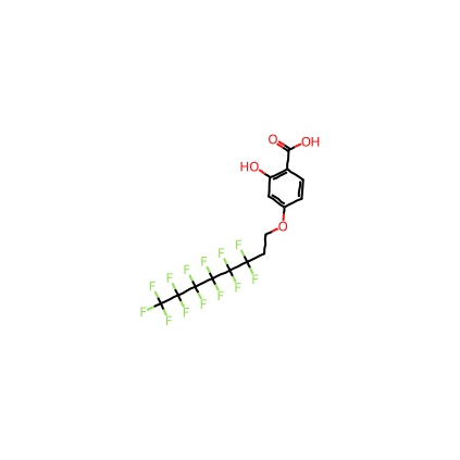 O=C(O)c1ccc(OCCC(F)(F)C(F)(F)C(F)(F)C(F)(F)C(F)(F)C(F)(F)F)cc1O